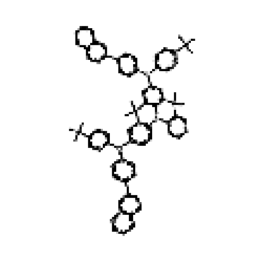 CC(C)(C)c1ccc(N(c2ccc(-c3ccc4ccccc4c3)cc2)c2ccc3c(c2)C(C)(C)c2cc(N(c4ccc(-c5ccc6ccccc6c5)cc4)c4ccc(C(C)(C)C)cc4)cc4c2N3c2ccccc2C4(C)C)cc1